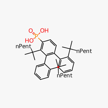 CCCCCC(C)(C)c1ccccc1-c1ccc(P(=O)(O)O)c(C(C)(C)CCCCC)c1-c1ccccc1C(C)(C)CCCCC